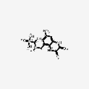 CCN(Cc1cc([N+](=O)[O-])cc2[nH]c(=O)c(=O)[nH]c12)C(C)P(=O)(O)O